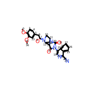 COc1ccc(CC(=O)N2CC3CC2C2C(=O)N(c4cnc(C#N)c5ccccc45)C(=O)N32)cc1OC